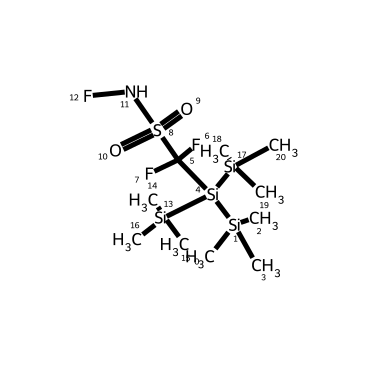 C[Si](C)(C)[Si](C(F)(F)S(=O)(=O)NF)([Si](C)(C)C)[Si](C)(C)C